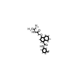 CC(C)NC(=O)COc1ccc(C(=O)Nc2cccc(F)c2)c2ccccc12